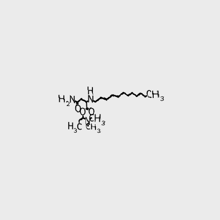 CCCCCCCCCCCCNC(CC(N)=O)C(=O)OC(CC)N(C)C